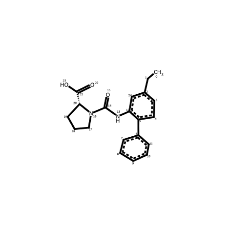 CCc1ccc(-c2ccccc2)c(NC(=O)N2CCC[C@@H]2C(=O)O)c1